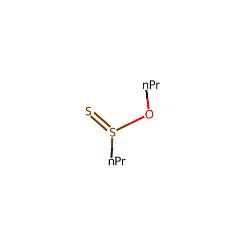 CCCOS(=S)CCC